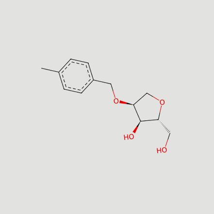 Cc1ccc(CO[C@H]2CO[C@H](CO)[C@H]2O)cc1